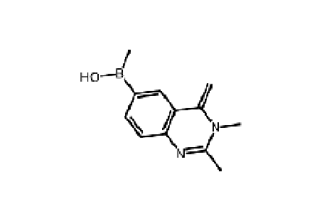 C=C1c2cc(B(C)O)ccc2N=C(C)N1C